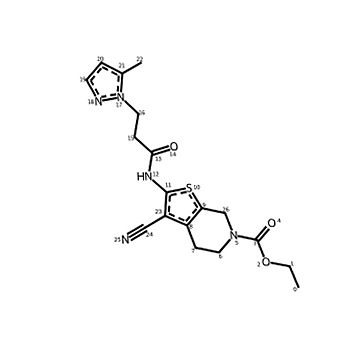 CCOC(=O)N1CCc2c(sc(NC(=O)CCn3nccc3C)c2C#N)C1